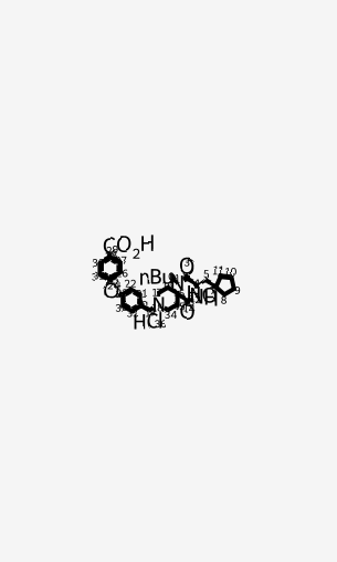 CCCCN1C(=O)[C@@H](CC2(O)CCCC2)NC(=O)C12CCN(Cc1ccc(Oc3ccc(C(=O)O)cc3)cc1)CC2.Cl